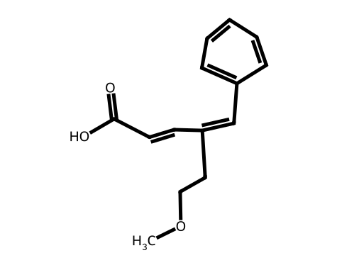 COCCC(C=CC(=O)O)=Cc1ccccc1